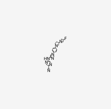 N#Cc1cnc(Nc2cn(-c3ccc(N4CCC(N5CC(F)C5)C4)cc3)cn2)cn1